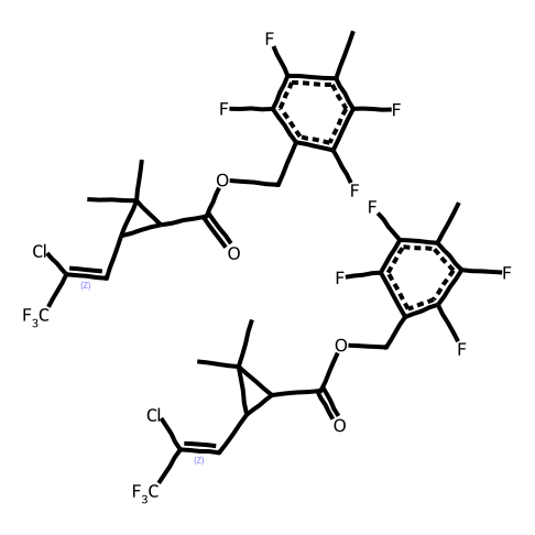 Cc1c(F)c(F)c(COC(=O)C2C(/C=C(\Cl)C(F)(F)F)C2(C)C)c(F)c1F.Cc1c(F)c(F)c(COC(=O)C2C(/C=C(\Cl)C(F)(F)F)C2(C)C)c(F)c1F